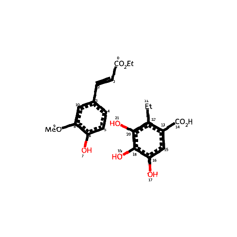 CCOC(=O)/C=C/c1ccc(O)c(OC)c1.CCc1c(C(=O)O)cc(O)c(O)c1O